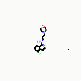 Brc1cccc2c(NCCCN3CCOCC3)nccc12